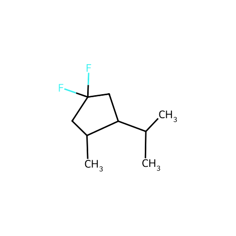 CC(C)C1CC(F)(F)CC1C